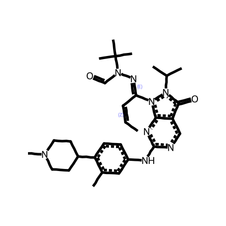 C/C=C\C(=N/N(C=O)C(C)(C)C)n1c2nc(Nc3ccc(C4CCN(C)CC4)c(C)c3)ncc2c(=O)n1C(C)C